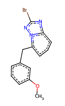 COc1cccc(Cc2cccc3nc(Br)nn23)c1